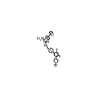 CN(CCN1CCN(c2cc(N3CC[S+]([O-])CC3)c(F)cc2F)CC1)c1nc(N)n2nc(-c3ccco3)cc2n1